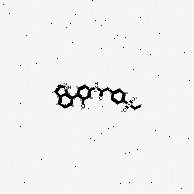 CCS(=O)(=O)c1ccc(CC(=O)Nc2ccc(-c3cccc4cc[nH]c34)c(Cl)c2)cc1